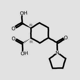 O=C(O)[C@H]1CCC(C(=O)N2CCCC2)C[C@@H]1C(=O)O